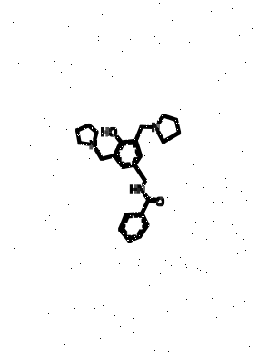 O=C(NCc1cc(CN2CCCC2)c(O)c(CN2CCCC2)c1)c1ccccc1